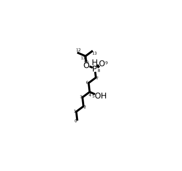 CCCCC(O)CC[PH](=O)OC(C)C